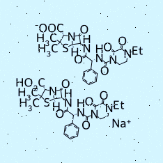 CCN1CCN(C(=O)N[C@@H](C(=O)N[C@@H]2C(=O)N3[C@@H]2SC(C)(C)[C@@H]3C(=O)O)c2ccccc2)C(=O)C1=O.CCN1CCN(C(=O)N[C@@H](C(=O)N[C@@H]2C(=O)N3[C@@H]2SC(C)(C)[C@@H]3C(=O)[O-])c2ccccc2)C(=O)C1=O.[Na+]